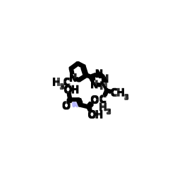 CC(C)n1nnc(C2=CCCN(C)C2)n1.O=C(O)/C=C/C(=O)O